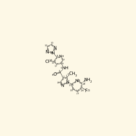 Cc1c(C(=O)Nc2cnc(-n3nccn3)c(Cl)c2)cnn1-c1ccc(F)c(N)n1